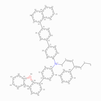 CC/C=C(\C=C/CN(c1ccc(-c2ccc(-c3cccc4ccccc34)cc2)cc1)c1ccc(-c2cccc3c2oc2ccccc23)cc1)c1ccccc1